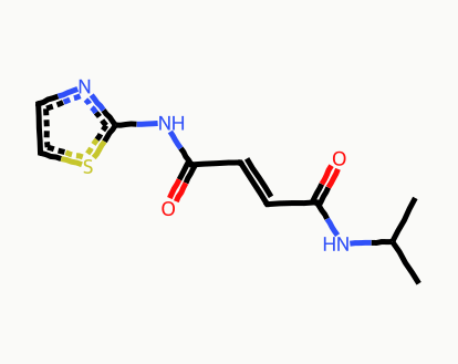 CC(C)NC(=O)/C=C/C(=O)Nc1nccs1